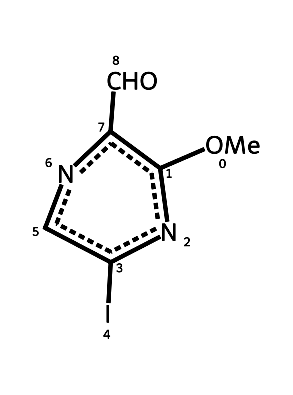 COc1nc(I)cnc1C=O